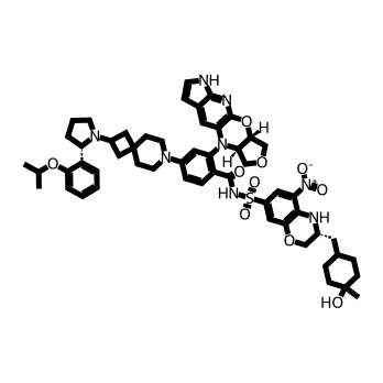 CC(C)Oc1ccccc1[C@@H]1CCCN1C1CC2(CCN(c3ccc(C(=O)NS(=O)(=O)c4cc5c(c([N+](=O)[O-])c4)N[C@H](CC4CCC(C)(O)CC4)CO5)c(N4c5cc6cc[nH]c6nc5O[C@@H]5COC[C@H]54)c3)CC2)C1